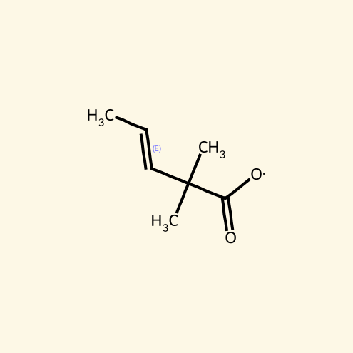 C/C=C/C(C)(C)C([O])=O